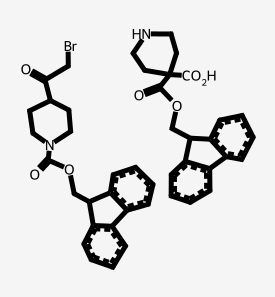 O=C(CBr)C1CCN(C(=O)OCC2c3ccccc3-c3ccccc32)CC1.O=C(O)C1(C(=O)OCC2c3ccccc3-c3ccccc32)CCNCC1